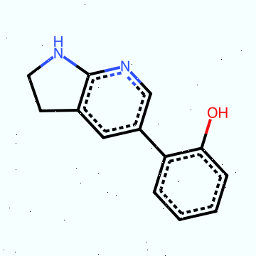 Oc1ccccc1-c1cnc2c(c1)CCN2